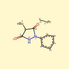 CCCC.CCCCC1C(=O)NN(c2ccccc2)C1=O